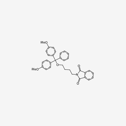 COc1ccc(C(OCCCCN2C(=O)c3ccccc3C2=O)(c2ccccc2)c2ccc(OC)cc2)cc1